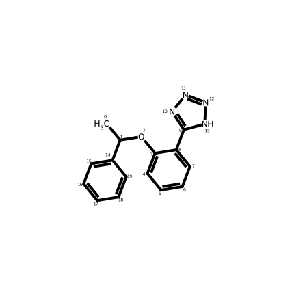 CC(Oc1ccccc1-c1nnn[nH]1)c1ccccc1